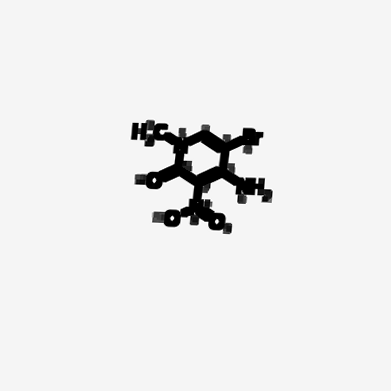 Cn1cc(Br)c(N)c([N+](=O)[O-])c1=O